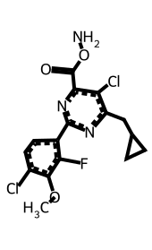 COc1c(Cl)ccc(-c2nc(CC3CC3)c(Cl)c(C(=O)ON)n2)c1F